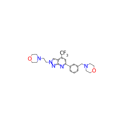 FC(F)(F)c1cc(-c2cccc(CN3CCOCC3)c2)nc2nn(CCN3CCOCC3)cc12